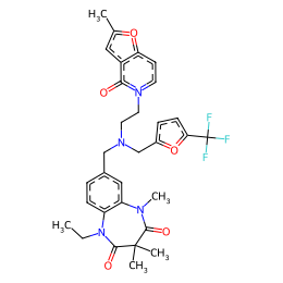 CCN1C(=O)C(C)(C)C(=O)N(C)c2cc(CN(CCn3ccc4oc(C)cc4c3=O)Cc3ccc(C(F)(F)F)o3)ccc21